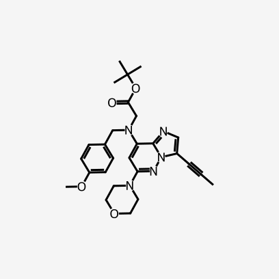 CC#Cc1cnc2c(N(CC(=O)OC(C)(C)C)Cc3ccc(OC)cc3)cc(N3CCOCC3)nn12